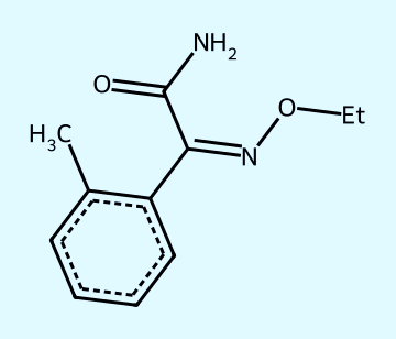 CCO/N=C(\C(N)=O)c1ccccc1C